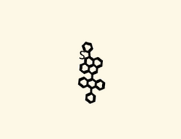 c1ccc(-c2c3ccccc3c(-c3cc4cccc5c6c7ccccc7sc6c6cccc3c6c45)c3ccccc23)cc1